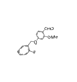 COc1cc(OCc2ccccc2F)ccc1C=O